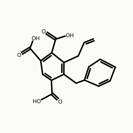 C=CCc1c(Cc2ccccc2)c(C(=O)O)cc(C(=O)O)c1C(=O)O